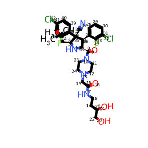 CC(C)(C)C[C@@H]1N[C@@H](C(=O)N2CCN(CC(=O)NCCC(O)CO)CC2)[C@H](c2cccc(Cl)c2F)[C@@]1(C#N)c1ccc(Cl)cc1F